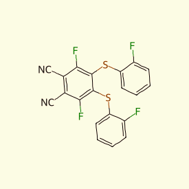 N#Cc1c(F)c(Sc2ccccc2F)c(Sc2ccccc2F)c(F)c1C#N